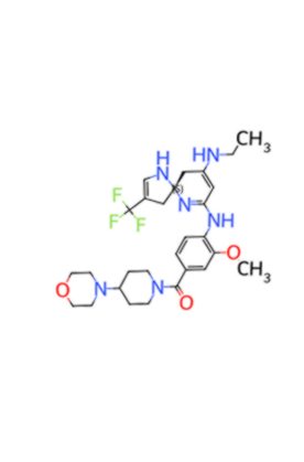 CCNC1=CC(Nc2ccc(C(=O)N3CCC(N4CCOCC4)CC3)cc2OC)=N[C@]2(C1)CC(C(F)(F)F)=CN2